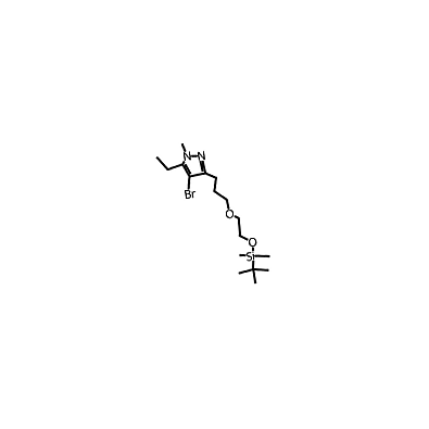 CCc1c(Br)c(CCCOCCO[Si](C)(C)C(C)(C)C)nn1C